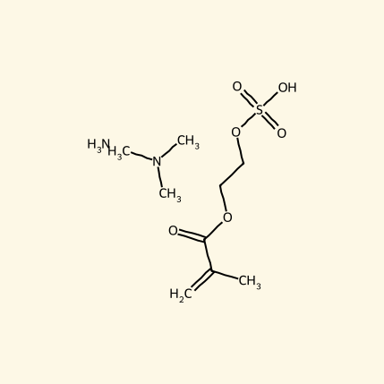 C=C(C)C(=O)OCCOS(=O)(=O)O.CN(C)C.N